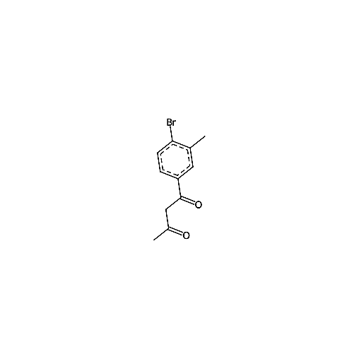 CC(=O)CC(=O)c1ccc(Br)c(C)c1